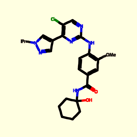 COc1cc(C(=O)NC2(O)CCCCC2)ccc1Nc1ncc(Cl)c(-c2cnn(C(C)C)c2)n1